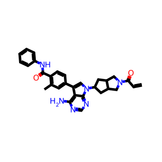 C=CC(=O)N1CC2CC(n3cc(-c4ccc(C(=O)Nc5ccccc5)c(C)c4)c4c(N)ncnc43)CC2C1